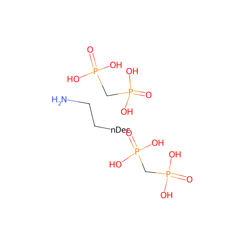 CCCCCCCCCCCCN.O=P(O)(O)CP(=O)(O)O.O=P(O)(O)CP(=O)(O)O